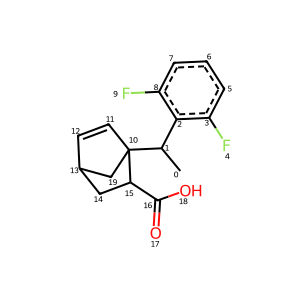 CC(c1c(F)cccc1F)C12C=CC(CC1C(=O)O)C2